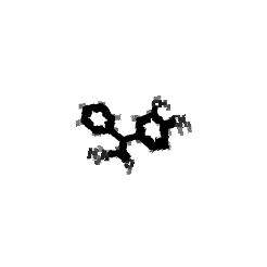 Cc1ccc(C(C(N)=O)c2ccccc2)cc1C